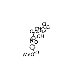 COC(=O)c1ccc(CN2CC(C(=O)N(C)Cc3ccc(Cl)c(Cl)c3)=C(O)C2=O)cc1